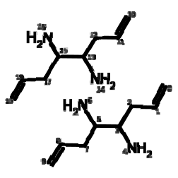 C=CCC(N)C(N)CC=C.C=CCC(N)C(N)CC=C